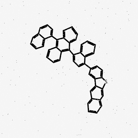 c1ccc2cc3c(cc2c1)sc1ccc(-c2ccc(-c4c5ccccc5c(-c5cccc6ccccc56)c5ccccc45)c4ccccc24)cc13